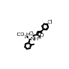 Cc1ccccc1[C@H](CC(=O)O)NC(=O)c1cc(-c2ccc(Cl)cc2)on1